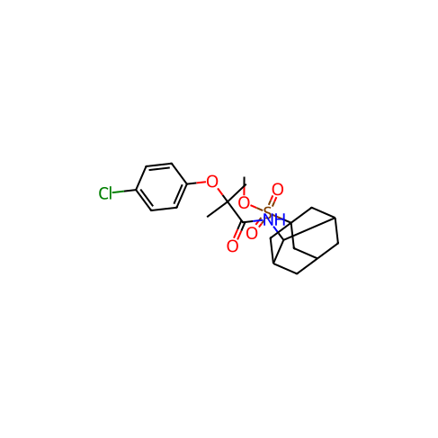 COS(=O)(=O)C12CC3CC(C1)C(NC(=O)C(C)(C)Oc1ccc(Cl)cc1)C(C3)C2